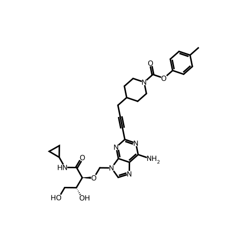 Cc1ccc(OC(=O)N2CCC(CC#Cc3nc(N)c4ncn(CO[C@H](C(=O)NC5CC5)[C@H](O)CO)c4n3)CC2)cc1